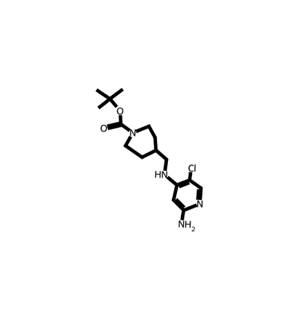 CC(C)(C)OC(=O)N1CCC(CNc2cc(N)ncc2Cl)CC1